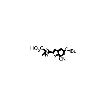 CCC(C)Oc1cc(C#N)c2sc(-c3nc(C)c(C(=O)O)s3)cc2c1